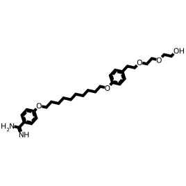 N=C(N)c1ccc(OCCCCCCCCCCOc2ccc(CCOCCOCCO)cc2)cc1